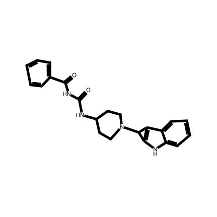 O=C(NC(=O)c1ccccc1)NC1CCN(C2c3[nH]c4ccccc4c32)CC1